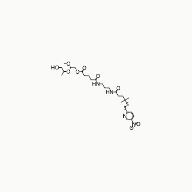 COC(COC(=O)CCCC(=O)NCCCNC(=O)CCC(C)(C)SSc1ccc([N+](=O)[O-])cn1)OC(C)CO